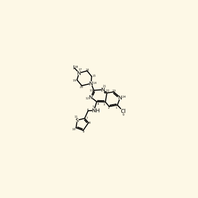 Clc1cc2c(NCc3cccs3)nc(N3CCN(I)CC3)nc2cn1